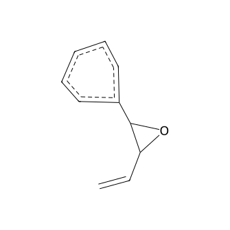 C=CC1OC1c1ccccc1